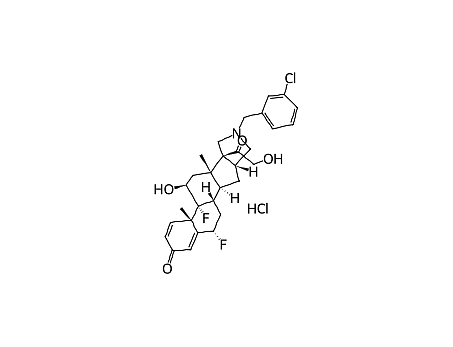 C[C@]12C=CC(=O)C=C1[C@@H](F)C[C@H]1[C@@H]3C[C@H]4CN(Cc5cccc(Cl)c5)C[C@@]4(C(=O)CO)[C@@]3(C)C[C@H](O)[C@@]12F.Cl